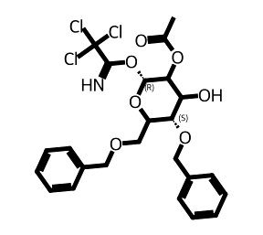 CC(=O)OC1C(O)[C@H](OCc2ccccc2)C(COCc2ccccc2)O[C@@H]1OC(=N)C(Cl)(Cl)Cl